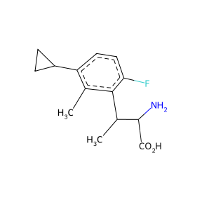 Cc1c(C2CC2)ccc(F)c1C(C)C(N)C(=O)O